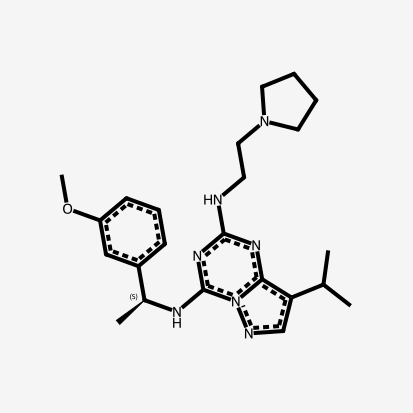 COc1cccc([C@H](C)Nc2nc(NCCN3CCCC3)nc3c(C(C)C)cnn23)c1